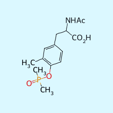 CC(=O)NC(Cc1ccc(OP(C)(C)=O)c(C)c1)C(=O)O